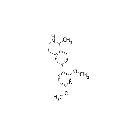 COc1ccc(-c2ccc3c(c2)CCNC3C)c(OC)n1